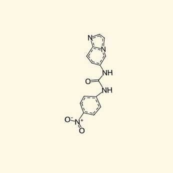 O=C(Nc1ccc([N+](=O)[O-])cc1)Nc1ccc2nccn2c1